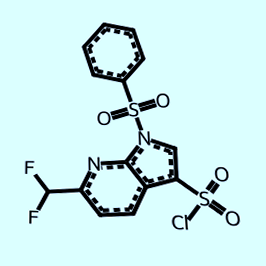 O=S(=O)(Cl)c1cn(S(=O)(=O)c2ccccc2)c2nc(C(F)F)ccc12